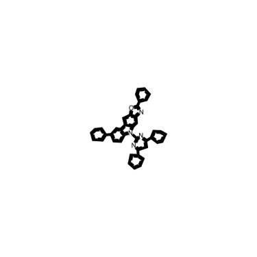 c1ccc(-c2ccc3c(c2)c2cc4oc(-c5ccccc5)nc4cc2n3-c2nc(-c3ccccc3)cc(-c3ccccc3)n2)cc1